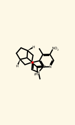 Cc1c([N+](=O)[O-])cnc2c1c(C1[C@@H]3CC[C@H]1CN(C(=O)C(C)C)C3)cn2C